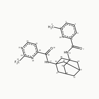 Cc1cccc(C(=O)NC23CC4CC(C2)CC(NC(=O)c2ccnc(C(F)(F)F)n2)(C4)C3)n1